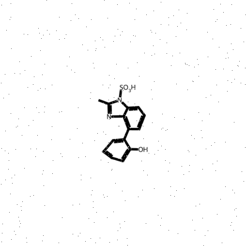 Cc1nc2c(-c3ccccc3O)cccc2n1S(=O)(=O)O